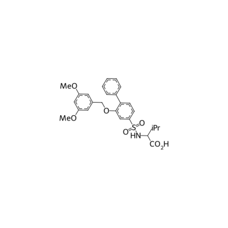 COc1cc(COc2cc(S(=O)(=O)NC(C(=O)O)C(C)C)ccc2-c2ccccc2)cc(OC)c1